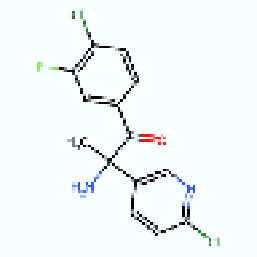 CC(N)(C(=O)c1ccc(Cl)c(F)c1)c1ccc(Cl)nc1